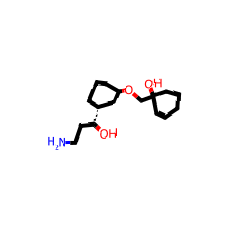 NCCC(O)[C@@H]1CCCC(OCC2(O)C=CCCC2)C1